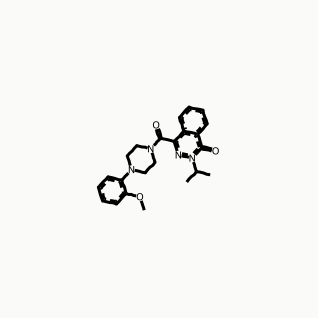 COc1ccccc1N1CCN(C(=O)c2nn(C(C)C)c(=O)c3ccccc23)CC1